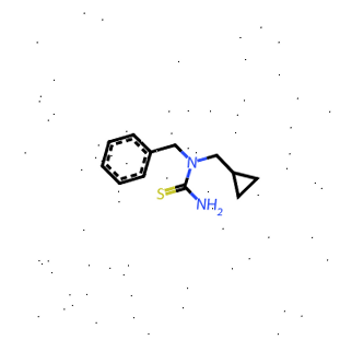 NC(=S)N(Cc1ccccc1)CC1CC1